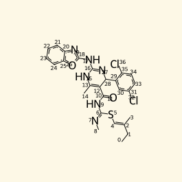 CC/C(C)=C/S/C(=N\C)NC(=O)C1=C(C)NC(Nc2nc3ccccc3o2)=NC1c1cc(Cl)ccc1Cl